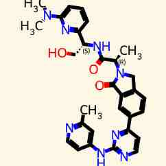 Cc1cc(Nc2nccc(-c3ccc4c(c3)C(=O)N([C@H](C)C(=O)N[C@H](CO)c3cccc(N(C)C)n3)C4)n2)ccn1